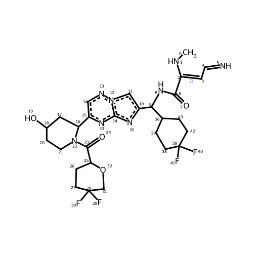 CN/C(=C\C=N)C(=O)NC(c1cn2ncc(C3CC(O)CCN3C(=O)C3CCC(F)(F)CO3)nc2n1)C1CCC(F)(F)CC1